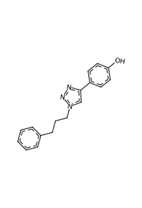 Oc1ccc(-c2cn(CCCc3ccccc3)nn2)cc1